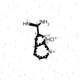 Cl.N=C(N)c1cc2cccnc2s1